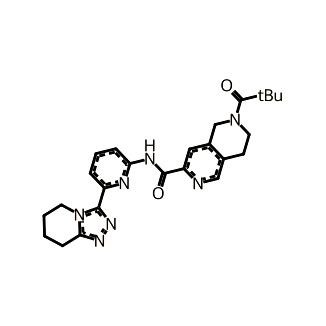 CC(C)(C)C(=O)N1CCc2cnc(C(=O)Nc3cccc(-c4nnc5n4CCCC5)n3)cc2C1